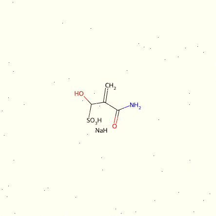 C=C(C(N)=O)C(O)S(=O)(=O)O.[NaH]